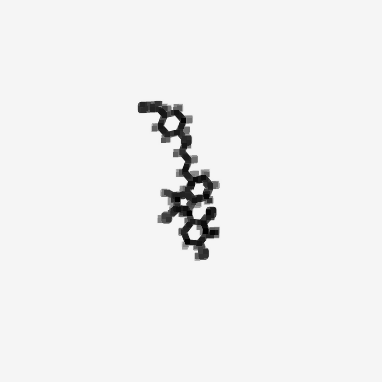 Cn1c(=O)n(C2CCC(=O)NC2=O)c2cccc(CCCOC3CCC(C=O)CC3)c21